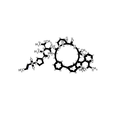 C/C=C/S(=O)(=O)N1CC[C@H](C(=O)N(C)[C@H](C(=O)N[C@H]2Cc3cccc(c3)-c3ccc4c(c3)c(c(-c3cccnc3C(C)C)n4C)CC(C)(C)COC(=O)[C@@H]3CCCN(N3)C2=O)C(C)C)C1